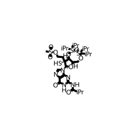 CC(C)C(=O)Nc1nc2c(ncn2[C@@H]2O[C@@H]3CO[Si](C(C)C)(C(C)C)O[Si](C(C)C)(C(C)C)O[C@H]3[C@]2(S)CCOS(C)(=O)=O)c(=O)[nH]1